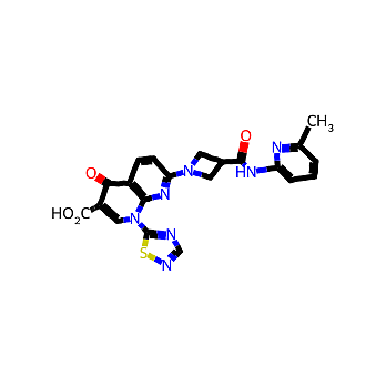 Cc1cccc(NC(=O)C2CN(c3ccc4c(=O)c(C(=O)O)cn(-c5ncns5)c4n3)C2)n1